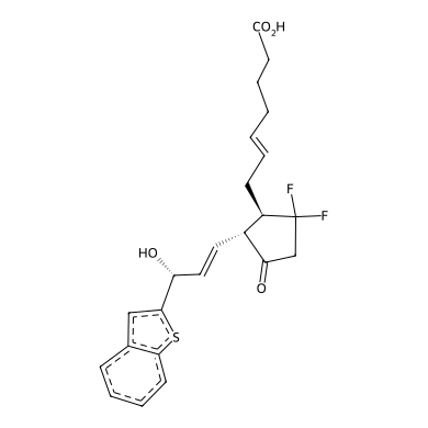 O=C(O)CCCC=CC[C@@H]1[C@@H](C=C[C@@H](O)c2cc3ccccc3s2)C(=O)CC1(F)F